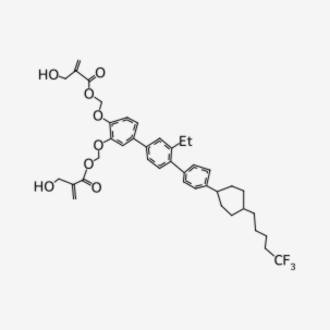 C=C(CO)C(=O)OCOc1ccc(-c2ccc(-c3ccc(C4CCC(CCCCC(F)(F)F)CC4)cc3)c(CC)c2)cc1OCOC(=O)C(=C)CO